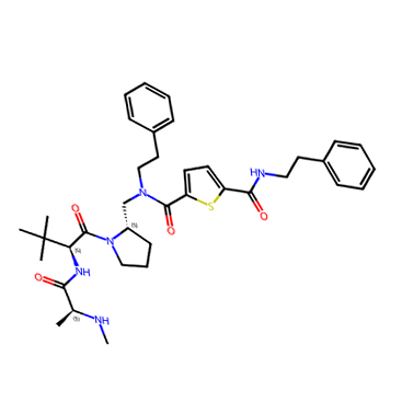 CN[C@@H](C)C(=O)N[C@H](C(=O)N1CCC[C@H]1CN(CCc1ccccc1)C(=O)c1ccc(C(=O)NCCc2ccccc2)s1)C(C)(C)C